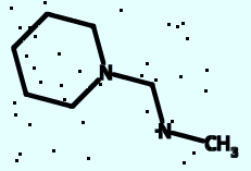 C[N]CN1CCCCC1